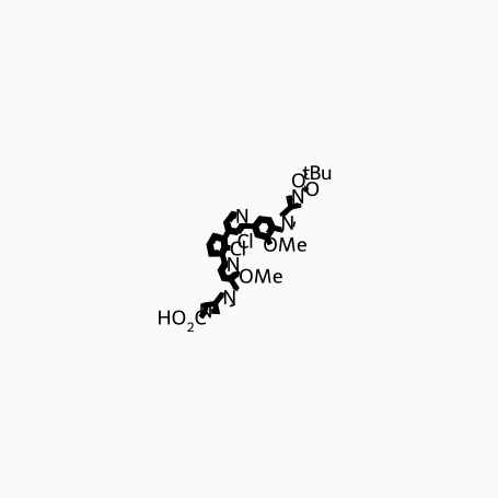 COc1cc(-c2nccc(-c3cccc(-c4ccc(CN(C)CC5CN(C(=O)O)C5)c(OC)n4)c3Cl)c2Cl)ccc1CN(C)CC1CN(C(=O)OC(C)(C)C)C1